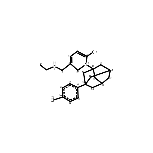 CCNCC1=CC=C(Cl)N(C23CC4CC(CC(c5ccc(Cl)cc5)(C4)C2)C3)C1